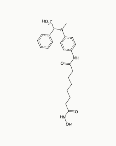 CN(c1ccc(NC(=O)CCCCCCC(=O)NO)cc1)C(C(=O)O)c1ccccc1